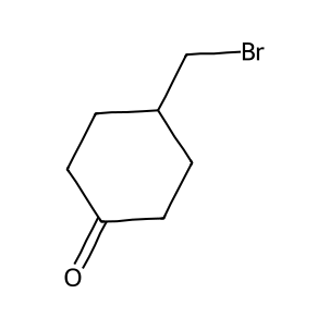 O=C1CCC(CBr)CC1